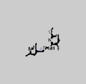 COc1ncc(F)c(N/N=C/c2cc(C)nn2C)n1